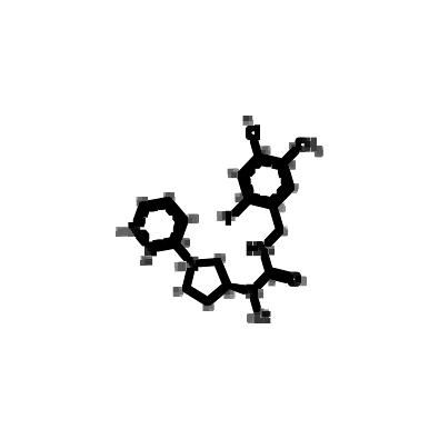 CCN(C(=O)NCc1cc(C)c(Cl)cc1F)[C@H]1CCN(c2cccnn2)C1